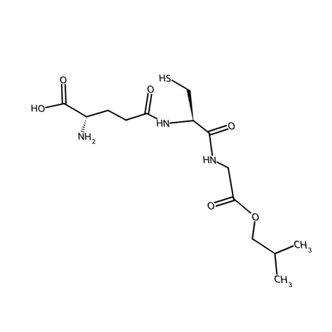 CC(C)COC(=O)CNC(=O)[C@H](CS)NC(=O)CC[C@H](N)C(=O)O